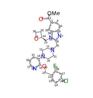 COC(=O)c1ccc2nc(CN3CCN(c4cccnc4OCc4ccc(Cl)cc4F)CC3)n(C[C@@H]3CCO3)c2c1